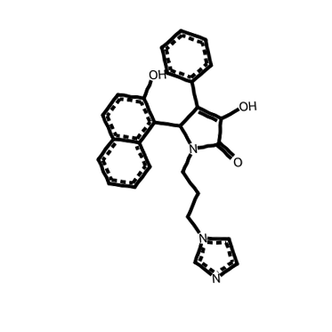 O=C1C(O)=C(c2ccccc2)C(c2c(O)ccc3ccccc23)N1CCCn1ccnc1